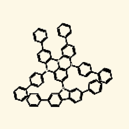 c1cccc(-c2ccc(N3c4ccc(-c5ccccc5)cc4B4c5cc(-c6ccccc6)ccc5N(c5ccc(-c6ccccc6)cc5)c5cc(-n6c7cc(C8=CCCC=C8)ccc7c7ccc(-c8ccccc8)cc76)cc3c54)cc2)c#1